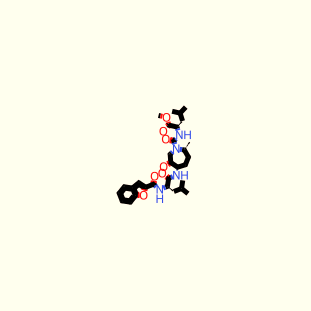 COC(=O)[C@H](CC(C)C)NC(=O)N1CC(=O)[C@@H](NC(=O)[C@H](CC(C)C)NC(=O)c2cc3ccccc3o2)CC[C@H]1C